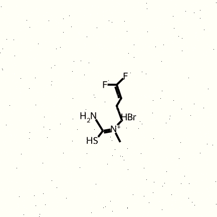 Br.C[N+](CCC=C(F)F)=C(N)S